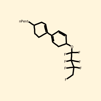 CCCCCC1CC=C(C2=CCC(OC(F)(F)C(F)(F)C(F)(F)CF)C=C2)CC1